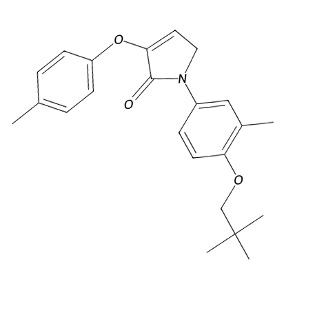 Cc1ccc(OC2=CCN(c3ccc(OCC(C)(C)C)c(C)c3)C2=O)cc1